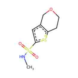 CNS(=O)(=O)c1cc2c(s1)CCOC2